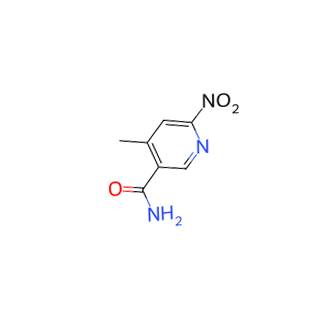 Cc1cc([N+](=O)[O-])ncc1C(N)=O